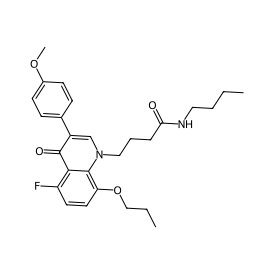 CCCCNC(=O)CCCn1cc(-c2ccc(OC)cc2)c(=O)c2c(F)ccc(OCCC)c21